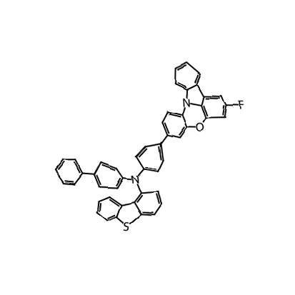 Fc1cc2c3c(c1)c1ccccc1n3-c1ccc(-c3ccc(N(c4ccc(-c5ccccc5)cc4)c4cccc5sc6ccccc6c45)cc3)cc1O2